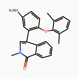 CC(=O)Nc1ccc(Oc2c(C)cccc2C)c(-c2cn(C)c(=O)c3ccccc23)c1